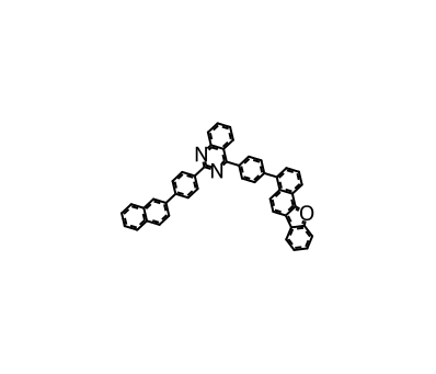 c1ccc2cc(-c3ccc(-c4nc(-c5ccc(-c6cccc7c6ccc6c8ccccc8oc76)cc5)c5ccccc5n4)cc3)ccc2c1